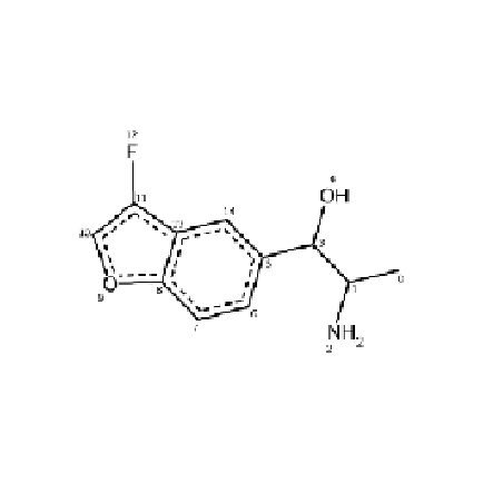 CC(N)C(O)c1ccc2occ(F)c2c1